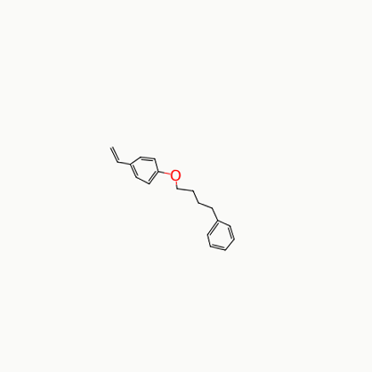 C=Cc1ccc(OCCCCc2ccccc2)cc1